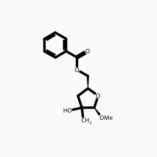 CO[C@@H]1O[C@H](COC(=O)c2ccccc2)CC1(C)O